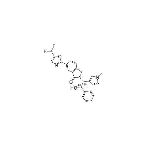 Cn1cc([C@H]([C@@H](O)c2ccccc2)N2Cc3ccc(-c4nnc(C(F)F)o4)cc3C2=O)cn1